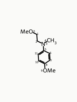 COCCN(C)c1ccc(OC)cc1